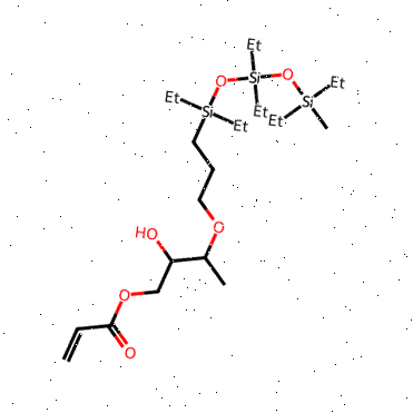 C=CC(=O)OCC(O)C(C)OCCC[Si](CC)(CC)O[Si](CC)(CC)O[Si](C)(CC)CC